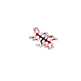 CCOC(OCC)(OCC)C(OCC)(OCC)C(CC(=O)O)(C(=O)O)C(OCC)(OCC)C(OCC)(OCC)OCC